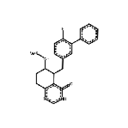 CSNC1CCc2nc[nH]c(=O)c2C1Cc1ccc(F)c(-c2ccccc2)c1